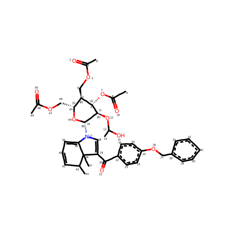 CC(=O)OC[C@H]1[C@H](OC(C)=O)[C@@H](OC(C)O)[C@H](N2C=C(C(=O)c3ccc(OCc4ccccc4)cc3)C3(C)C2=CC=CC3C)O[C@@H]1COC(C)=O